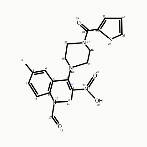 C/C(=C(\c1cc(I)ccc1N(C)C=O)N1CCN(C(=O)c2cccs2)CC1)[N+](=O)O